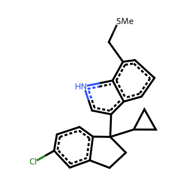 CSCc1cccc2c(C3(C4CC4)CCc4cc(Cl)ccc43)c[nH]c12